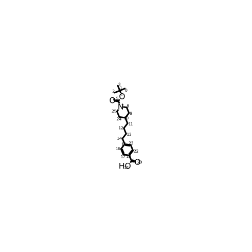 CC(C)(C)OC(=O)N1CCC(CCCCc2ccc(C(=O)O)cc2)CC1